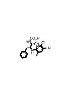 C[C@H](NC(=O)O)[C@@H](Cc1ccccc1)Nc1nc(Cl)c(C#N)cc1F